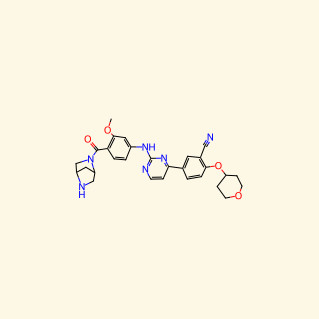 COc1cc(Nc2nccc(-c3ccc(OC4CCOCC4)c(C#N)c3)n2)ccc1C(=O)N1CC2CC1CN2